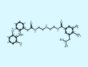 CCN(CC)Cc1cc(C(=O)OCCOCCOC(=O)Cc2ccccc2Nc2c(Cl)cccc2Cl)cc(Br)c1N